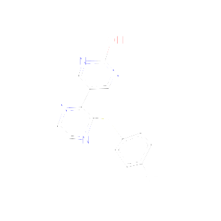 Oc1ncc(-c2nccnc2Sc2ccc(C(F)(F)F)cc2)cn1